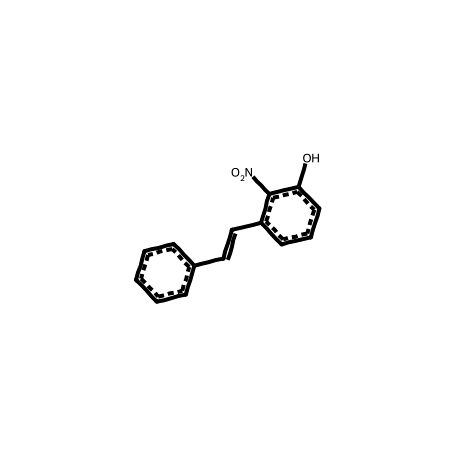 O=[N+]([O-])c1c(O)cccc1C=Cc1ccccc1